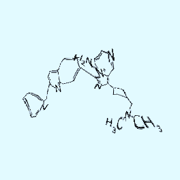 CN(C)CC1CC(C2=C3C=NC=C[N+]3(N)C(c3ccc4ccc(-c5ccccn5)nc4c3)=N2)C1